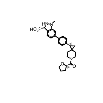 CN1NC(C(=O)O)c2ccc(-c3ccc([C@H]4CC45CCN(C(=O)[C@H]4CCCO4)CC5)cc3)cc21